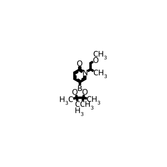 COCC(C)n1cc(B2OC(C)(C)C(C)(C)O2)ccc1=O